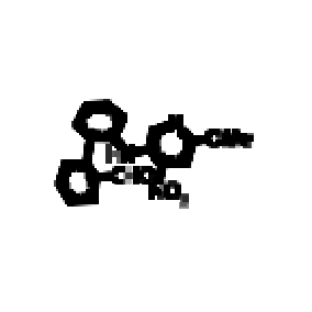 COc1cc([N+](=O)[O-])c(Nc2ccccc2-c2ccccc2C=O)cn1